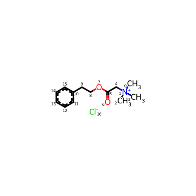 C[N+](C)(C)CC(=O)OCCc1ccccc1.[Cl-]